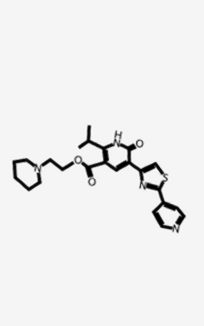 CC(C)c1[nH]c(=O)c(-c2csc(-c3ccncc3)n2)cc1C(=O)OCCN1CCCCC1